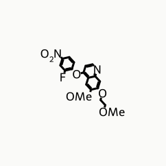 COCCOc1cc2nccc(Oc3ccc([N+](=O)[O-])cc3F)c2cc1OC